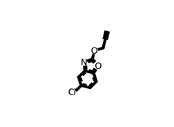 C#CCOc1nc2cc(Cl)ccc2o1